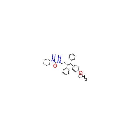 COc1ccc(C(=C(CCNC(=O)NC2CCCCC2)c2ccccc2)c2ccccc2)cc1